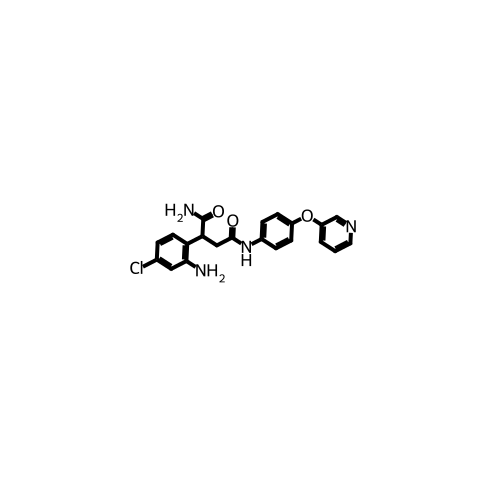 NC(=O)C(CC(=O)Nc1ccc(Oc2cccnc2)cc1)c1ccc(Cl)cc1N